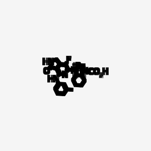 Cc1cccc(Nc2nc(N[C@@H]3CCCC[C@@H]3N(C(=O)O)C(C)(C)C)c(F)c3c2C(=O)NC3)c1